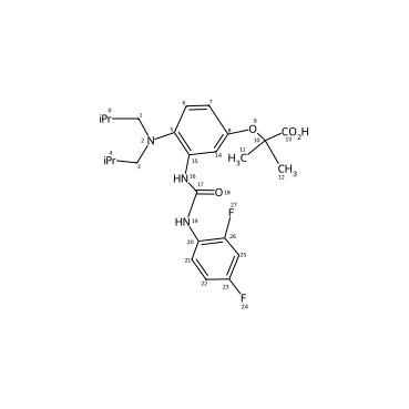 CC(C)CN(CC(C)C)c1ccc(OC(C)(C)C(=O)O)cc1NC(=O)Nc1ccc(F)cc1F